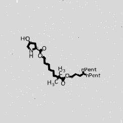 CCCCCC(CCCCC)CCCOC(=O)C(C)(C)CCCCCCOC(=O)[C@@H]1C[C@H](O)CN1